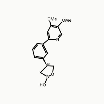 COc1cnc(-c2cccc([C@H]3COB(O)C3)c2)cc1OC